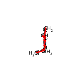 C=CC(=O)OCCCCCCOc1ccc(C(=O)Oc2ccc(/C=N/N=C/c3ccc(OCOc4ccc(OCCCCCCOC(=O)C=C)c(OC)c4)cc3)cc2)cc1CO